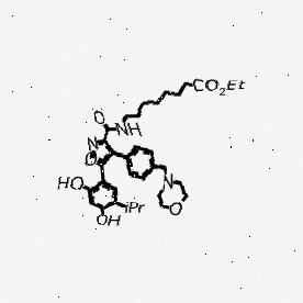 CCOC(=O)CCCCCCCNC(=O)c1noc(-c2cc(C(C)C)c(O)cc2O)c1-c1ccc(CN2CCOCC2)cc1